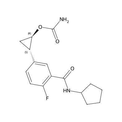 NC(=O)O[C@@H]1C[C@H]1c1ccc(F)c(C(=O)NC2CCCC2)c1